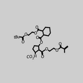 C=C(C)C(=O)OCCOC(=O)C1C(OC(=O)C2CCCCC2C(=O)OCCOC(=O)C(C)(C)C)CCC1C(=O)O